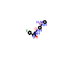 Cn1cc(-c2ccc(F)cc2)c2cc(C(=O)Nc3ccc(C(=O)Nc4ccccc4N)cc3)[nH]c2c1=O